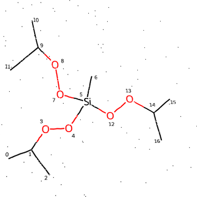 CC(C)OO[Si](C)(OOC(C)C)OOC(C)C